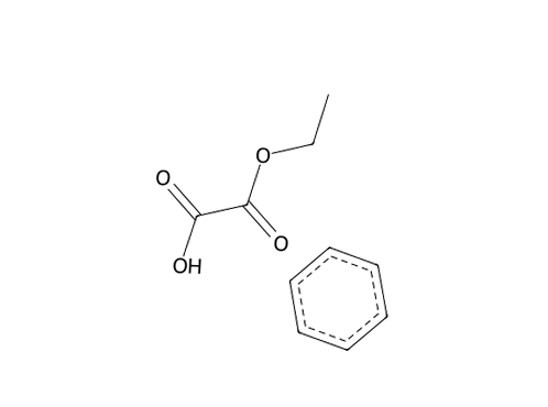 CCOC(=O)C(=O)O.c1ccccc1